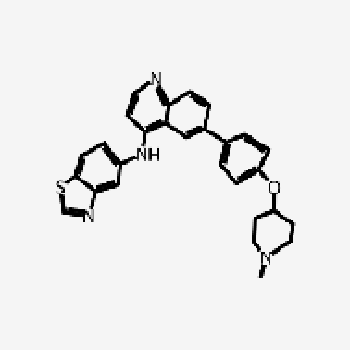 CN1CCC(Oc2ccc(-c3ccc4nccc(Nc5ccc6scnc6c5)c4c3)cc2)CC1